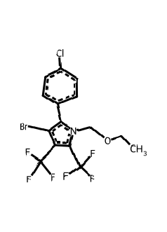 CCOCn1c(-c2ccc(Cl)cc2)c(Br)c(C(F)(F)F)c1C(F)(F)F